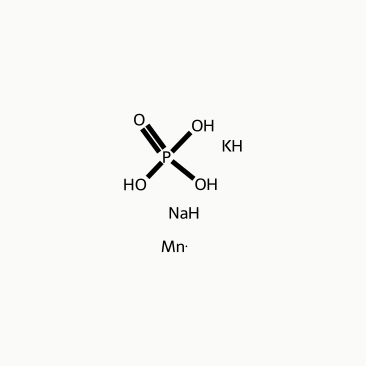 O=P(O)(O)O.[KH].[Mn].[NaH]